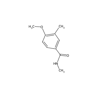 CNC(=O)c1ccc(OC)c(C)c1